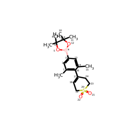 Cc1cc(B2OC(C)(C)C(C)(C)O2)cc(C)c1C1=CCS(=O)(=O)CC1